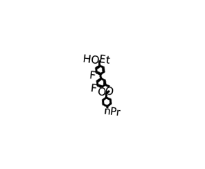 CCCC1CCC(C2OCc3cc(-c4ccc(C(O)CC)cc4F)cc(F)c3O2)CC1